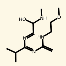 C=C(/N=C(\N=C\C(O)NC)C(C)C)NCCOC